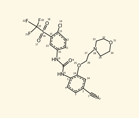 N#Cc1ccc(NC(=O)Nc2ccc(Cl)c(S(=O)(=O)C(F)(F)F)c2)c(OCCN2CCOCC2)c1